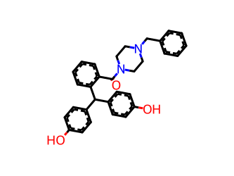 O=C(c1ccccc1C(c1ccc(O)cc1)c1ccc(O)cc1)N1CCN(Cc2ccccc2)CC1